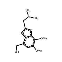 COc1cc(CO)c2cc(CN(C)C)oc2c1OC